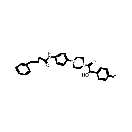 O=C(CCCc1ccccc1)Nc1ccc(N2CCN(C(=O)C(O)c3ccc(F)cc3)CC2)cc1